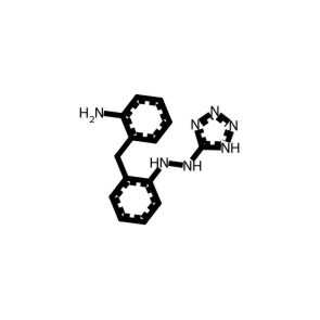 Nc1ccccc1Cc1ccccc1NNc1nnn[nH]1